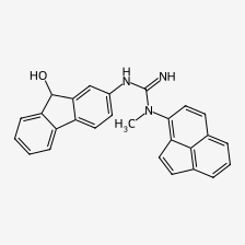 CN(C(=N)Nc1ccc2c(c1)C(O)c1ccccc1-2)c1ccc2cccc3c2c1C=C3